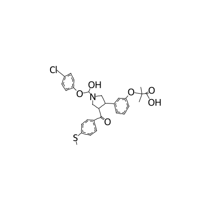 CSc1ccc(C(=O)C2CN(C(O)Oc3ccc(Cl)cc3)CC2c2cccc(OC(C)(C)C(=O)O)c2)cc1